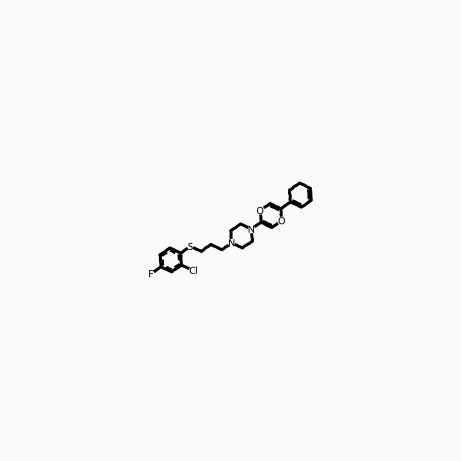 Fc1ccc(SCCCN2CCN(C3=COC(C4=CC=CCC4)=CO3)CC2)c(Cl)c1